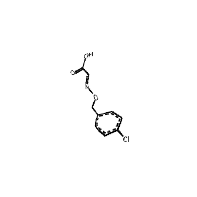 O=C(O)C=NOCc1ccc(Cl)cc1